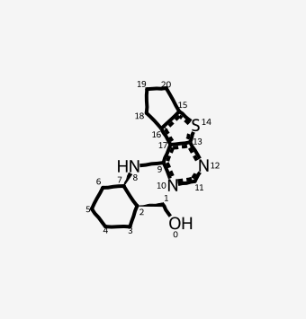 OC[C@H]1CCCC[C@H]1Nc1ncnc2sc3c(c12)CCC3